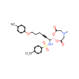 CN1CC(=O)OB(C(C#CCCCOc2ccc(C#N)cc2)NS(=O)(=O)c2ccc([N+](=O)[O-])cc2)OC(=O)C1